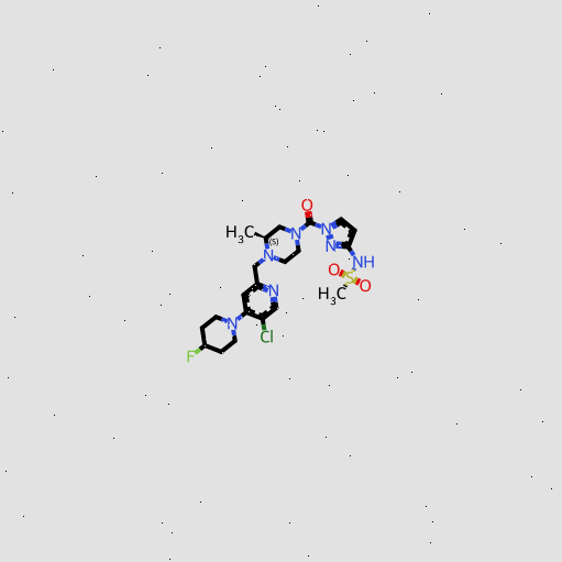 C[C@H]1CN(C(=O)n2ccc(NS(C)(=O)=O)n2)CCN1Cc1cc(N2CCC(F)CC2)c(Cl)cn1